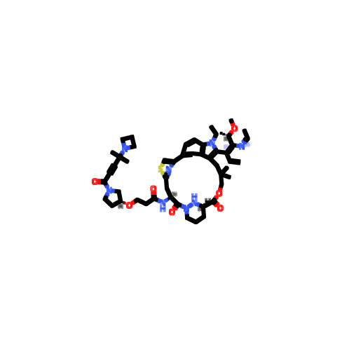 C=C/C(=C(\N=C/C)[C@H](C)OC)c1c2c3cc(ccc3n1CC)-c1csc(n1)C[C@H](NC(=O)CCO[C@@H]1CCN(C(=O)C#CC(C)(C)N3CCC3)C1)C(=O)N1CCC[C@H](N1)C(=O)OCC(C)(C)C2